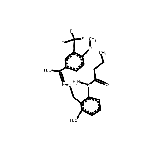 CCCC(=O)N(N)c1cccc(C)c1CON=C(C)c1ccc(OC)c(C(F)(F)F)c1